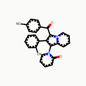 N#Cc1ccc(C(=O)c2c(-c3ccccc3C#N)c(-n3ccccc3=O)c3ccccn23)cc1